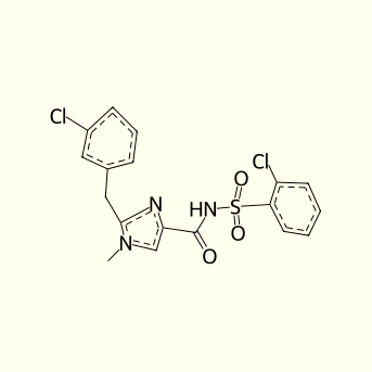 Cn1cc(C(=O)NS(=O)(=O)c2ccccc2Cl)nc1Cc1cccc(Cl)c1